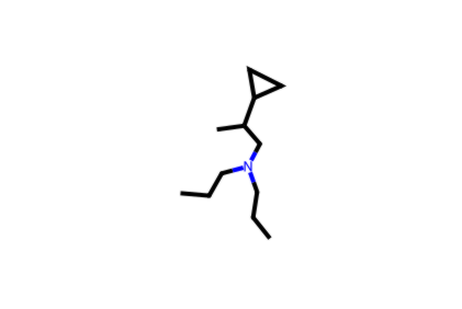 CCCN(CCC)CC(C)C1CC1